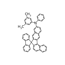 Cc1cc(C)cc(N(c2ccccc2)c2ccc3cc4c(cc3c2)C2(c3ccccc3-c3ccccc32)c2ccc3ccccc3c2-4)c1